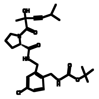 CC(C)C#CC(C)(O)C(=O)N1CCC[C@H]1C(=O)NCc1cc(Cl)ccc1CNC(=O)OC(C)(C)C